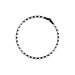 C1CCCCCCCCCCCCCCCCC2CC(CCCCCCCCCCCCCCCC1)C2